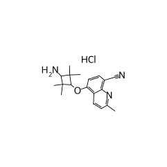 Cc1ccc2c(OC3C(C)(C)C(N)C3(C)C)ccc(C#N)c2n1.Cl